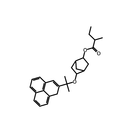 CCC(C)C(=O)OC1CC2CC1CC2OC(C)(C)C1=Cc2cccc3cccc(c23)C1